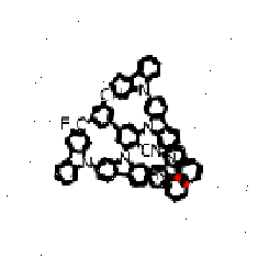 N#Cc1cc(-c2cc(-n3c4cc(-n5c6ccccc6c6ccccc65)ccc4c4ccc(-n5c6ccccc6c6ccccc65)cc43)c(C#N)c(-n3c4cc(-n5c6ccccc6c6ccccc65)ccc4c4ccc(-n5c6ccccc6c6ccccc65)cc43)c2)cc(C(F)(F)F)c1